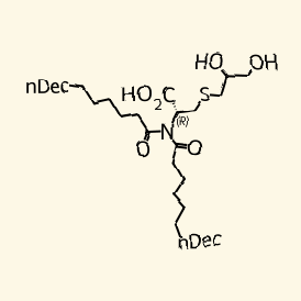 CCCCCCCCCCCCCCCC(=O)N(C(=O)CCCCCCCCCCCCCCC)[C@@H](CSCC(O)CO)C(=O)O